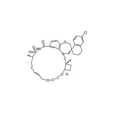 C[C@@H]1[C@@H](C)C/C=C/COCCO[C@@H]2CC[C@H]2CN2C[C@@]3(CCCc4cc(Cl)ccc43)COc3ccc(cc32)C(=O)NS1(=O)=O